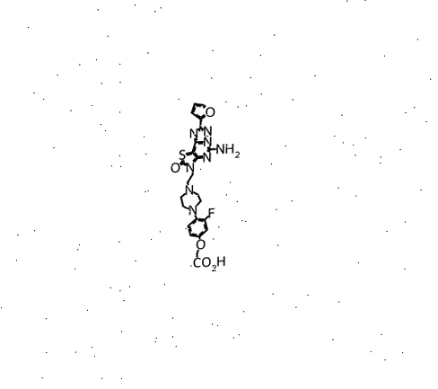 Nc1nc2c(sc(=O)n2CCN2CCN(c3ccc(OCC(=O)O)cc3F)CC2)c2nc(-c3ccco3)nn12